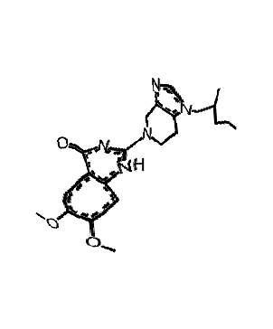 CCC(C)n1cnc2c1CCN(c1nc(=O)c3cc(OC)c(OC)cc3[nH]1)C2